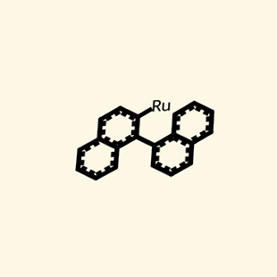 [Ru][c]1ccc2ccccc2c1-c1cccc2ccccc12